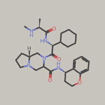 CN[C@@H](C)C(=O)N[C@H](C(=O)N1C[C@H]2CCCN2CC1C(=O)N[C@@H]1CCOc2ccccc21)C1CCCCC1